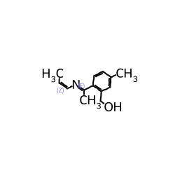 C/C=C\N=C(/C)c1ccc(C)cc1CO